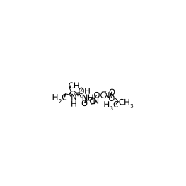 C=CC1=C(C=C)C[C@@H]([C@H](O)CNC(=O)c2ccnc(OC3CCN(C(=O)OCC(C)C)CC3)c2)NC1